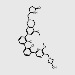 COc1cc(-c2cccc(-c3cccc(-c4cnc(CN5CC(O)C5)c(OC)n4)c3Cl)c2Cl)cc2c1CCN(CC1CCC(=O)N1)C2